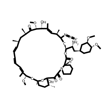 CO[C@H]1C[C@@H]2CC[C@@H](C)[C@@](O)(O2)C(=O)C(=O)N2CCCC[C@H]2C(=O)O[C@H]([C@H](N)C[C@@H]2CC[C@@H](OC)[C@H](OC)C2)CC(N=[N+]=[N-])[C@H](C)/C=C(\C)[C@@H](O)[C@@H](OC)C(=O)[C@H](C)C[C@H](C)/C=C/C=C/C=C/1C